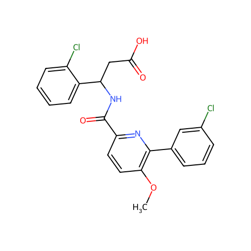 COc1ccc(C(=O)NC(CC(=O)O)c2ccccc2Cl)nc1-c1cccc(Cl)c1